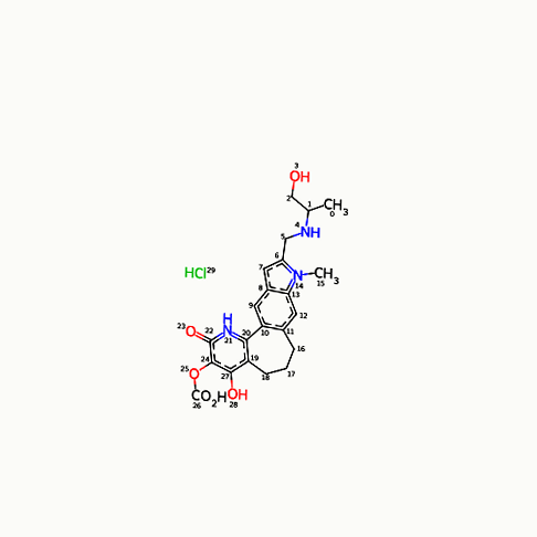 CC(CO)NCc1cc2cc3c(cc2n1C)CCCc1c-3[nH]c(=O)c(OC(=O)O)c1O.Cl